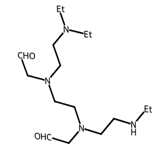 CCNCCN(CC=O)CCN(CC=O)CCN(CC)CC